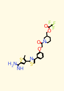 Cc1sc(C(=N)N)cc1-c1nc(-c2cccc(OCC(=O)N3CCCC(COC(=O)C(F)(F)F)C3)c2)cs1